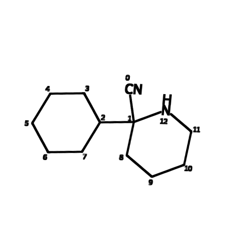 N#CC1(C2CCCCC2)CCCCN1